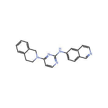 c1ccc2c(c1)CCN(c1ccnc(Nc3ccc4cnccc4c3)n1)C2